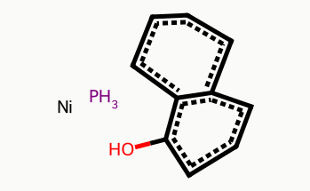 Oc1cccc2ccccc12.P.[Ni]